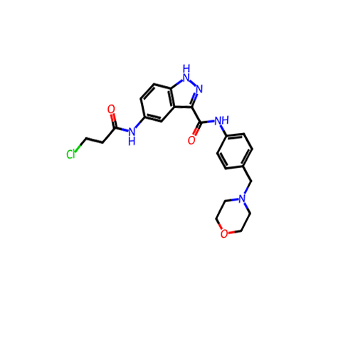 O=C(CCCl)Nc1ccc2[nH]nc(C(=O)Nc3ccc(CN4CCOCC4)cc3)c2c1